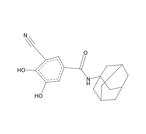 N#Cc1cc(C(=O)NC23CC4CC(CC(C4)C2)C3)cc(O)c1O